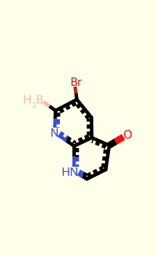 Bc1nc2[nH]ccc(=O)c2cc1Br